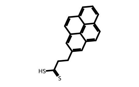 S=C(S)CCc1cc2ccc3cccc4ccc(c1)c2c34